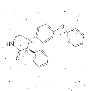 O=C1NCC[C@H](c2ccc(Oc3ccccc3)cc2)[C@H]1c1ccccc1